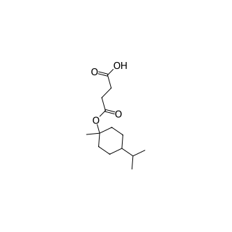 CC(C)C1CCC(C)(OC(=O)CCC(=O)O)CC1